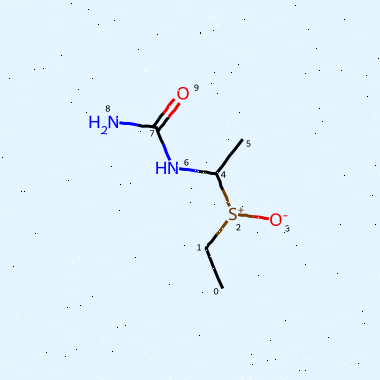 CC[S+]([O-])C(C)NC(N)=O